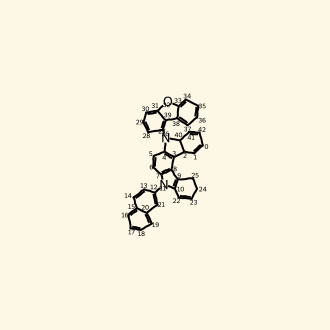 C1=CC2c3c(ccc4c3c3c(n4-c4ccc5ccccc5c4)C=CCC3)N(c3cccc4oc5ccccc5c34)C2C=C1